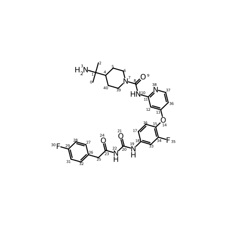 CC(C)(N)C1CCN(C(=O)Nc2cc(Oc3ccc(NC(=O)NC(=O)Cc4ccc(F)cc4)cc3F)ccn2)CC1